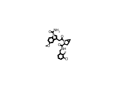 COc1ccc2c(c1)c(CC(=O)N1C(C(=O)NCc3cccc(Cl)c3F)CC3CC31)cn2C(N)=O